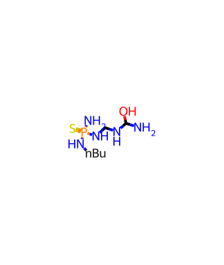 CCCCNP(N)(=S)NCNC(N)O